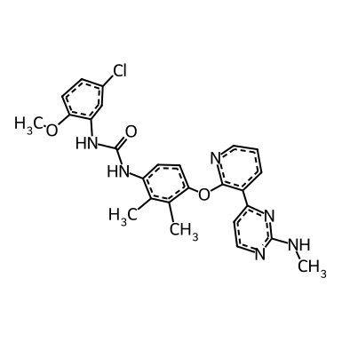 CNc1nccc(-c2cccnc2Oc2ccc(NC(=O)Nc3cc(Cl)ccc3OC)c(C)c2C)n1